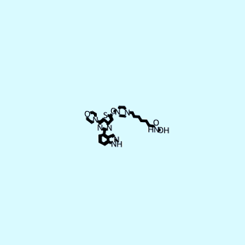 O=C(CCCCCCN1CCN(Oc2cc3nc(-c4cccc5[nH]ncc45)nc(N4CCOCC4)c3s2)CC1)NO